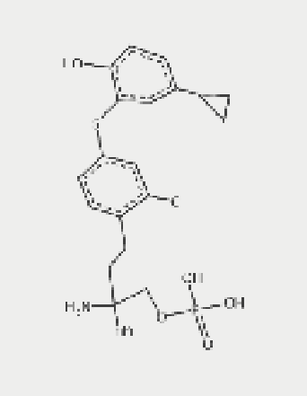 CCCC(N)(CCc1ccc(Sc2cc(C3CC3)ccc2O)cc1Cl)COP(=O)(O)O